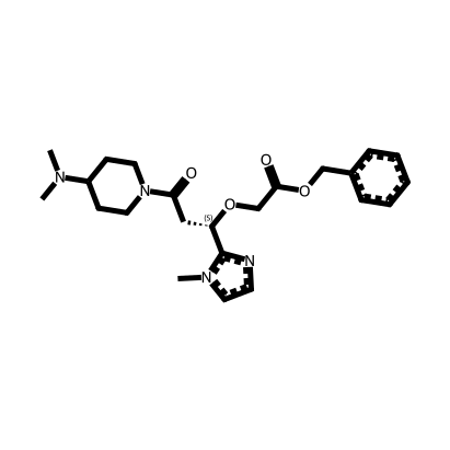 CN(C)C1CCN(C(=O)C[C@H](OCC(=O)OCc2ccccc2)c2nccn2C)CC1